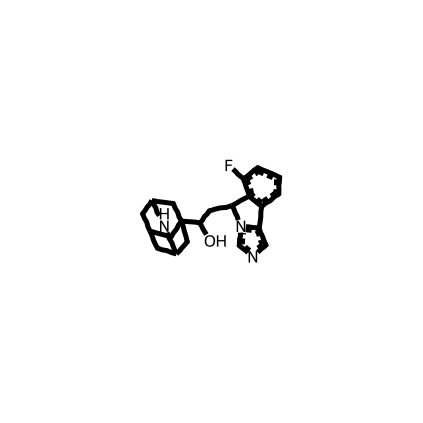 OC(CC1c2c(F)cccc2-c2cncn21)C12CC3CC(C1)NC(C3)C2